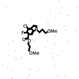 COCCCOC(=O)c1cc2c(ccn2CCCOC)c(Cl)c1F